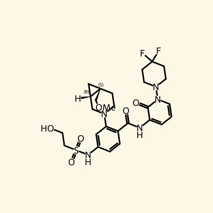 COC[C@@]12CCN(c3cc(NS(=O)(=O)CCO)ccc3C(=O)Nc3cccn(N4CCC(F)(F)CC4)c3=O)C[C@@H]1C2